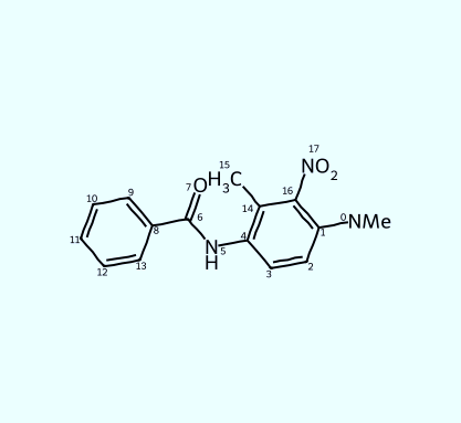 CNc1ccc(NC(=O)c2ccccc2)c(C)c1[N+](=O)[O-]